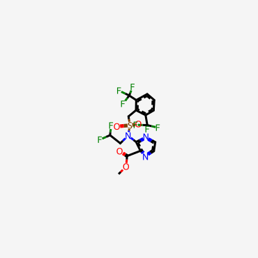 COC(=O)c1nccnc1N(CC(F)F)S(=O)(=O)Cc1c(C(F)(F)F)cccc1C(F)(F)F